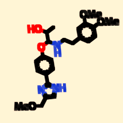 COCc1c[nH]c(-c2ccc(OC(NCCc3ccc(OC)c(OC)c3)C(C)O)cc2)n1